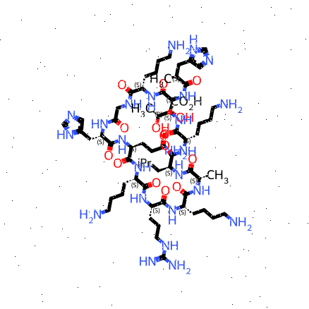 CC(C)C[C@H](NC(=O)[C@H](C)NC(=O)[C@H](CCCCN)NC(=O)[C@H](CCCNC(=N)N)NC(=O)[C@H](CCCCN)NC(=O)[C@H](CCC(N)=O)NC(=O)[C@H](Cc1cnc[nH]1)NC(=O)CNC(=O)[C@H](CCCCN)NC(=O)[C@H](CO)NC(=O)[C@@H](C)Cc1cnc[nH]1)C(=O)N[C@@H](CCCCN)C(=O)N[C@H](C(=O)O)[C@@H](C)O